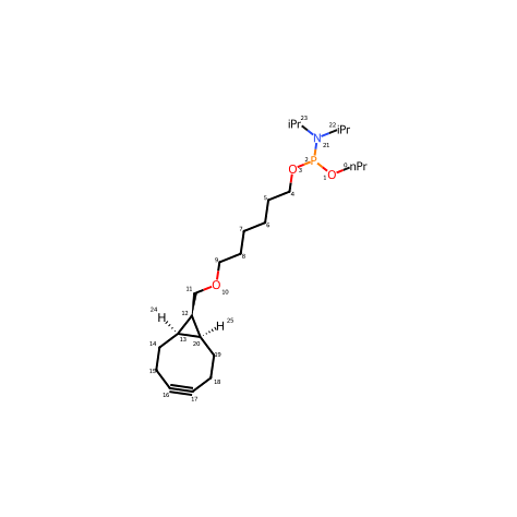 CCCOP(OCCCCCCOC[C@@H]1[C@@H]2CCC#CCC[C@@H]21)N(C(C)C)C(C)C